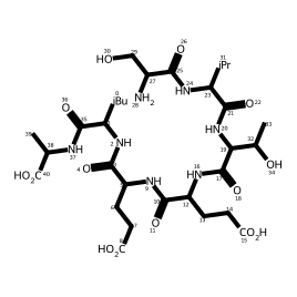 CCC(C)C(NC(=O)C(CCC(=O)O)NC(=O)C(CCC(=O)O)NC(=O)C(NC(=O)C(NC(=O)C(N)CO)C(C)C)C(C)O)C(=O)NC(C)C(=O)O